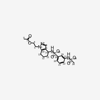 CC(=O)OCCn1ncc2c1CCCC2NS(=O)(=O)c1cccc(NS(C)(=O)=O)c1